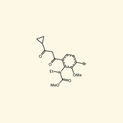 CCN(C(=O)OC)c1c(C(=O)CC(=O)C2CC2)ccc(Br)c1OC